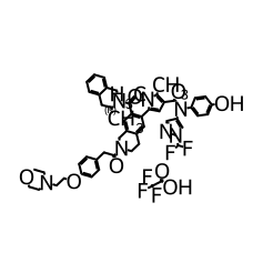 Cc1c(C(=O)N(c2ccc(O)cc2)c2cnn(C(F)F)c2)cc(-c2cc3c(cc2C(=O)N2Cc4ccccc4C[C@H]2C)CN(C(=O)Cc2ccc(OCCN4CCOCC4)cc2)CC3)n1C.O=C(O)C(F)(F)F